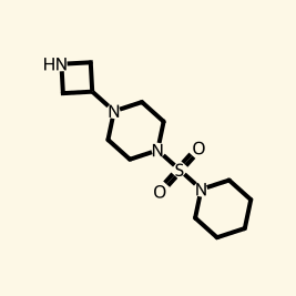 O=S(=O)(N1CCCCC1)N1CCN(C2CNC2)CC1